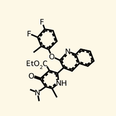 CCOC(=O)c1c(-c2cc3ccccc3nc2Oc2ccc(F)c(F)c2C)[nH]c(C)c(N(C)C)c1=O